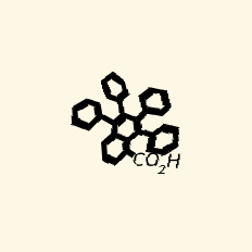 O=C(O)c1cccc2c(-c3ccccc3)c(-c3ccccc3)c(-c3ccccc3)c(-c3ccccc3)c12